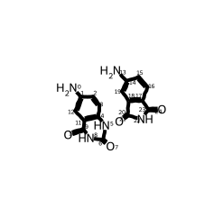 Nc1ccc2[nH]c(=O)[nH]c(=O)c2c1.Nc1ccc2c(c1)C(=O)NC2=O